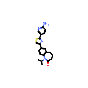 CC(C)N1C(=O)CCCc2cc(-c3csc(-c4ccc(N)nc4)n3)ccc21